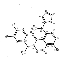 CC(c1ccc(F)c(F)c1)n1cnc2c(Br)cnc(N(C)c3cccs3)c2c1=O